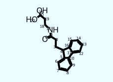 O=C(CCC1c2ccccc2-c2ccccc21)NCCC(O)O